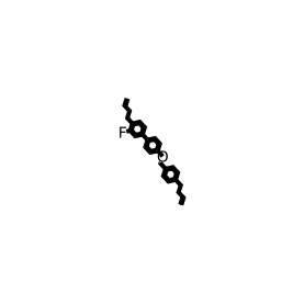 C=CCCc1ccc(COc2ccc(-c3ccc(CCC=C)c(F)c3)cc2)cc1